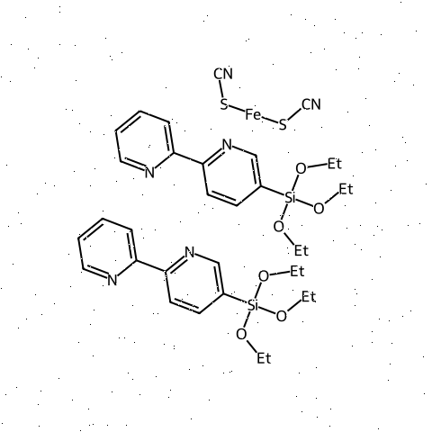 CCO[Si](OCC)(OCC)c1ccc(-c2ccccn2)nc1.CCO[Si](OCC)(OCC)c1ccc(-c2ccccn2)nc1.N#C[S][Fe][S]C#N